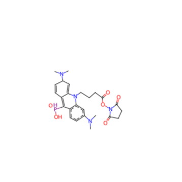 CN(C)c1ccc2c(c1)N(CCCC(=O)ON1C(=O)CCC1=O)C1=CC(N(C)C)C=CC1=C2[PH](=O)O